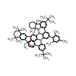 Cc1cc(C)c(-c2cc3c4c(c2)N(c2ccc(C(C)(C)C)cc2-c2ccccc2)c2cc5c(cc2B4N2c4c-3cc(C(C)(C)C)cc4C3(C)CCCCC23C)-c2cc3c(cc2C5(C)C)C(C)(C)CCC3(C)C)c(C)c1